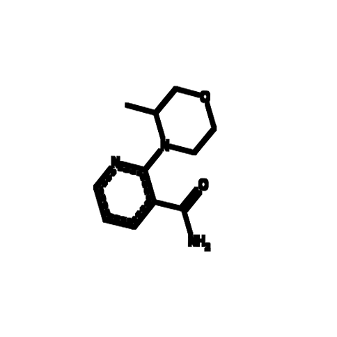 CC1COCCN1c1ncccc1C(N)=O